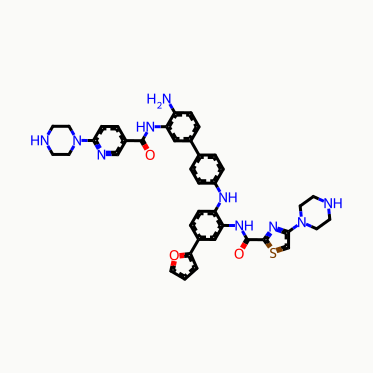 Nc1ccc(-c2ccc(Nc3ccc(-c4ccco4)cc3NC(=O)c3nc(N4CCNCC4)cs3)cc2)cc1NC(=O)c1ccc(N2CCNCC2)nc1